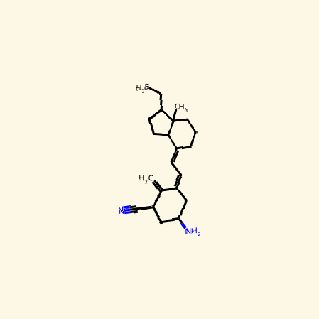 BCC1CCC2/C(=C/C=C3/CC(N)CC(C#N)C3=C)CCCC12C